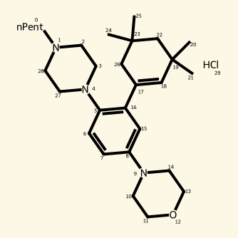 CCCCCN1CCN(c2ccc(N3CCOCC3)cc2C2=CC(C)(C)CC(C)(C)C2)CC1.Cl